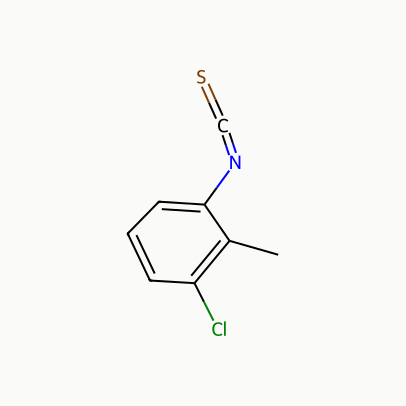 Cc1c(Cl)cccc1N=C=S